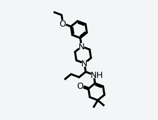 CCCC(NC1=CCC(C)(C)CC1=O)N1CCN(c2cccc(OCC)c2)CC1